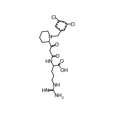 N=C(N)NCCCC(NC(=O)CC(=O)C1CCCCN1Cc1cc(Cl)cc(Cl)c1)C(=O)O